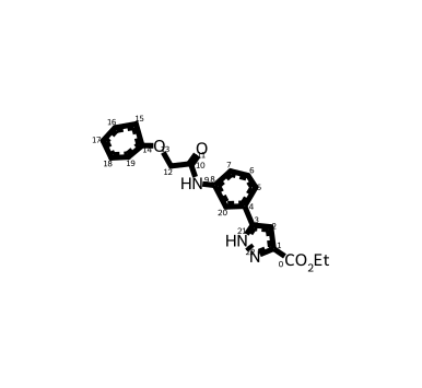 CCOC(=O)c1cc(-c2cccc(NC(=O)COc3ccccc3)c2)[nH]n1